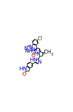 C[C@@H]1CC(c2ncc(-c3ccc4c(c3)CC(=O)N4)[nH]2)n2c1cc(-c1cc(Cl)ccc1N(N)/C=N\N)cc2=O